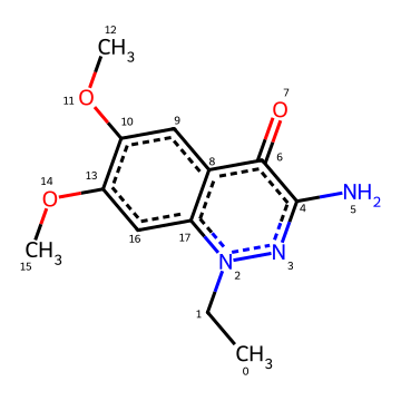 CCn1nc(N)c(=O)c2cc(OC)c(OC)cc21